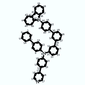 c1ccc(-c2ccc(N(c3ccc(-c4ccncc4)cc3)c3cccc(-c4cccc(-c5ccc(-n6c7ccccc7c7ccccc76)cc5)c4)c3)cc2)cc1